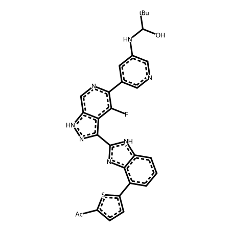 CC(=O)c1ccc(-c2cccc3[nH]c(-c4n[nH]c5cnc(-c6cncc(NC(O)C(C)(C)C)c6)c(F)c45)nc23)s1